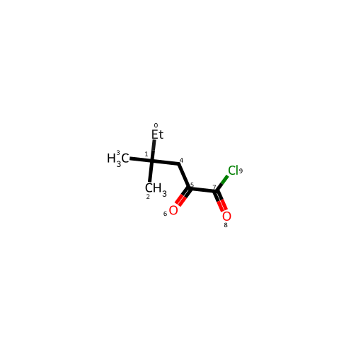 CCC(C)(C)CC(=O)C(=O)Cl